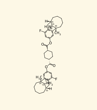 C[C@@]12CCCCC[C@@H](Cc3c(F)cc(OC(=O)[C@H]4CC[C@H](C(=O)Oc5cc(F)c6c(c5)[C@@]5(C)CCCCC[C@@H](C6)[C@@H]5N)CC4)cc31)[C@@H]2N